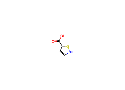 O=C(O)[C]1[C]=CNS1